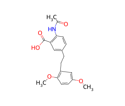 COc1ccc(OC)c(CCc2ccc(NC(C)=O)c(C(=O)O)c2)c1